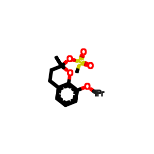 CC(C)Oc1cccc2c1OC(C)(OS(C)(=O)=O)CC2